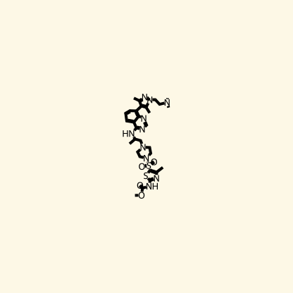 COC(=O)Nc1nc(C)c(S(=O)(=O)N2CCN(CC(C)Nc3ncnc4c(-c5c(C)nn(CCN(C)C)c5C)cccc34)CC2)s1